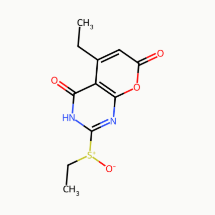 CCc1cc(=O)oc2nc([S+]([O-])CC)[nH]c(=O)c12